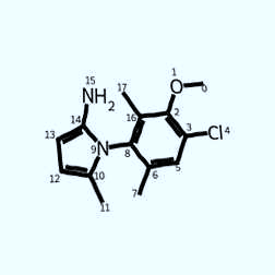 COc1c(Cl)cc(C)c(-n2c(C)ccc2N)c1C